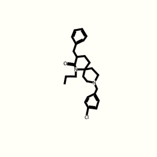 CCCN1C(=O)C(Cc2ccccc2)CCC12CCN(Cc1ccc(Cl)cc1)CC2